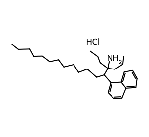 CCCCCCCCCCCCC(c1cccc2ccccc12)C(N)(CCC)CCC.Cl